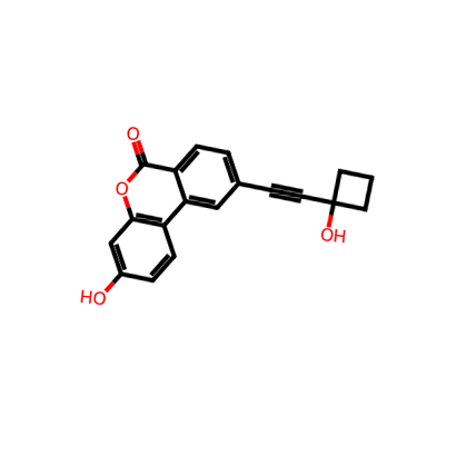 O=c1oc2cc(O)ccc2c2cc(C#CC3(O)CCC3)ccc12